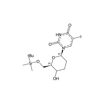 CC(C)(C)[Si](C)(C)OC[C@H]1O[C@@H](n2cc(I)c(=O)[nH]c2=O)CCC1O